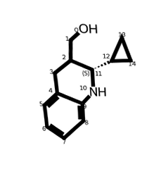 OCC1Cc2ccccc2N[C@H]1C1CC1